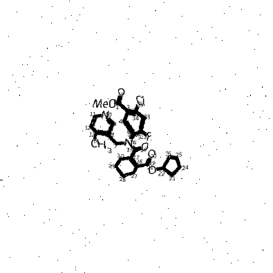 COC(=O)c1cc(N(Cc2cnccc2C)C(=O)C2=C(C(=O)OC3CCCC3)CCCC2)c(F)cc1Cl